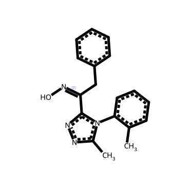 Cc1ccccc1-n1c(C)nnc1/C(Cc1ccccc1)=N\O